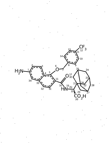 Nc1ccc2c(OCc3ccc(C(F)(F)F)cc3)c(C(=O)N[C@H](C(=O)O)C34CC5CC(CC(C5)C3)C4)ccc2c1